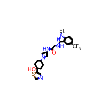 CCn1nc(NCC(=O)NC2CN(C3CCC(O)(c4cncs4)CC3)C2)c2cc(C(F)(F)F)ccc21